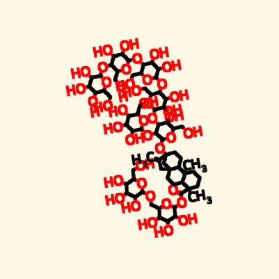 C=C1CC23CCC4C(C)(C(=O)OC5OC(COC6OC(CO)C(O)C(O)C6O)C(O)C(O)C5O)CCCC4(C)C2CCC1(OC1OC(CO)C(O)C(OC2OC(CO)C(OC4OC(CO)C(OC5OC(CO)C(OC6OC(CO)C(O)C(O)C6O)C(O)C5O)C(O)C4O)C(O)C2O)C1OC1OC(CO)C(O)C(O)C1O)C3